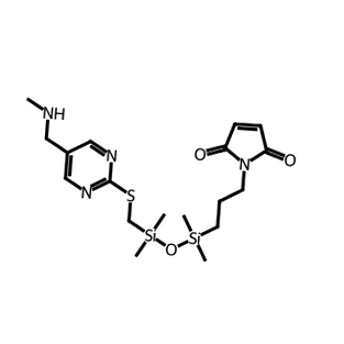 CNCc1cnc(SC[Si](C)(C)O[Si](C)(C)CCCN2C(=O)C=CC2=O)nc1